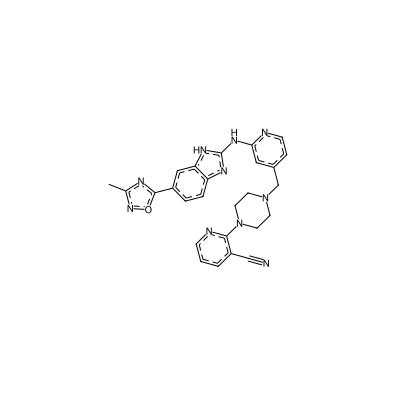 Cc1noc(-c2ccc3nc(Nc4cc(CN5CCN(c6ncccc6C#N)CC5)ccn4)[nH]c3c2)n1